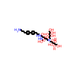 NCCCCc1ccc(-c2ccc(CCCNC(=O)C(CCCCN(CC(O)C(O)C(O)C(O)CO)CC(O)C(O)C(O)C(O)CO)NC(=O)O)cc2)cc1